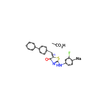 CC(=O)O.O=C1N=C(Nc2cc[c]([Na])c(F)c2)S/C1=C/c1ccc(-c2ccccc2)cc1